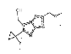 COCc1nn2c(CO)c(C3(F)CC3)nc2s1